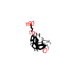 CC1=CC(=O)C[C@@H]2CC[C@H]3[C@@H]4CC[C@H](OC(=O)CCC(=O)O)[C@@]4(C)CC[C@@H]3[C@@]12C